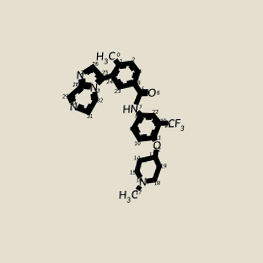 Cc1ccc(C(=O)Nc2ccc(OC3CCN(C)CC3)c(C(F)(F)F)c2)cc1-c1cnc2cnccn12